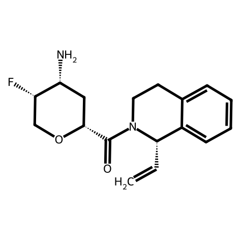 C=C[C@H]1c2ccccc2CCN1C(=O)[C@H]1C[C@@H](N)[C@@H](F)CO1